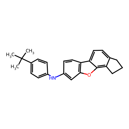 CC(C)(C)c1ccc(Nc2ccc3c(c2)oc2c4c(ccc23)CCC4)cc1